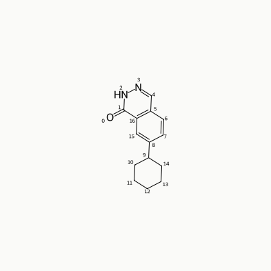 O=c1[nH]ncc2ccc(C3CCCCC3)cc12